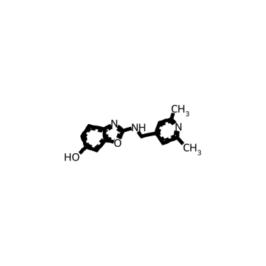 Cc1cc(CNc2nc3ccc(O)cc3o2)cc(C)n1